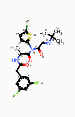 C[C@H](NC(=O)Cc1cc(F)cc(F)c1)C(=O)N(C(=O)CNC(C)(C)C)c1ccc(Cl)s1